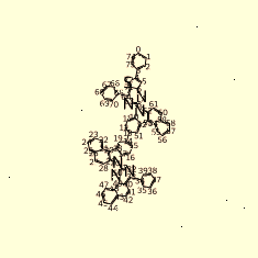 c1ccc(-c2cc3nc(-n4c5ccc(-c6ccc7c(c6)c6c8ccccc8ccc6n7-c6nc(-c7ccccc7)c7ccc8ccccc8c7n6)cc5c5c6ccccc6ccc54)nc(-c4ccccc4)c3s2)cc1